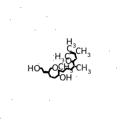 CC(C)=C(C)CC(=O)C(C)CCCC1(C)OCC(=CCO)CC[C@H]1O